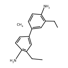 C.CCc1cc(-c2ccc(N)c(CC)c2)ccc1N